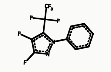 Fc1nn(-c2ccccc2)c(C(F)(F)C(F)(F)F)c1F